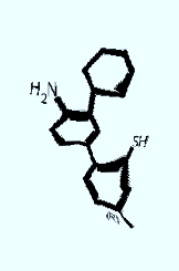 C[C@H]1C=CC(C2=CC(C3C=CCCC3)=C(N)CC2)=C(S)C1